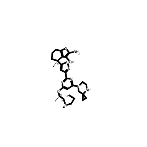 C[C@H](Oc1cc(N2CCNC3(CC3)C2)nc(-c2cc([C@@]3(C)CCCc4sc(N)c(C#N)c43)on2)n1)[C@@H]1CCCN1C